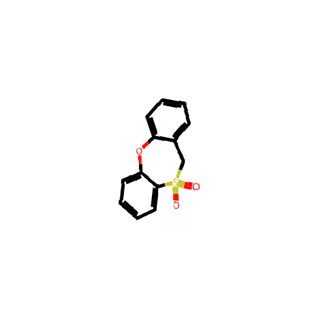 O=S1(=O)Cc2ccccc2Oc2ccccc21